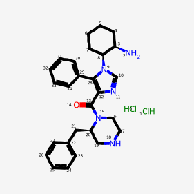 Cl.Cl.N[C@@H]1CCCC[C@@H]1n1cnc(C(=O)N2CCNC[C@H]2Cc2ccccc2)c1-c1ccccc1